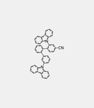 N#Cc1ccc(-c2ccccc2-c2cccc(-n3c4ccccc4c4ccccc43)c2)c(-n2c3ccccc3c3ccccc32)c1